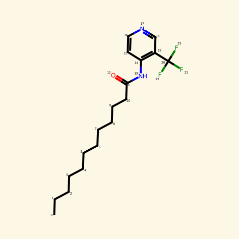 CCCCCCCCCCCC(=O)Nc1ccncc1C(F)(F)F